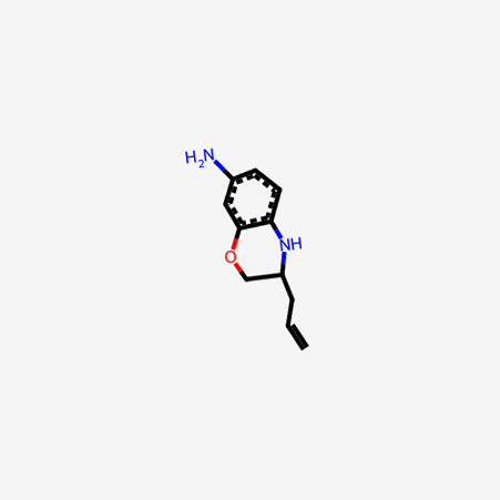 C=CCC1COc2cc(N)ccc2N1